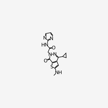 CNc1cc2c(C3CC3)nn(CC(=O)Nc3ncccn3)c(=O)c2s1